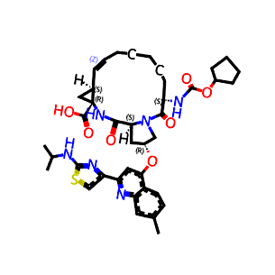 Cc1ccc2c(O[C@@H]3C[C@H]4C(=O)N[C@]5(C(=O)O)C[C@H]5/C=C\CCCCC[C@H](NC(=O)OC5CCCC5)C(=O)N4C3)cc(-c3csc(NC(C)C)n3)nc2c1